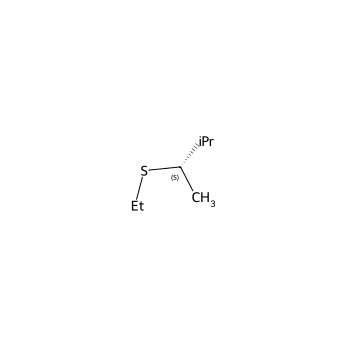 CCS[C@@H](C)C(C)C